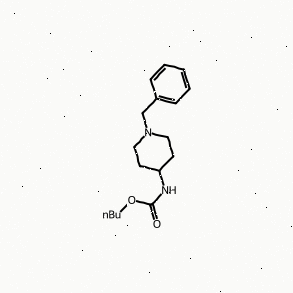 CCCCOC(=O)NC1CCN(Cc2ccccc2)CC1